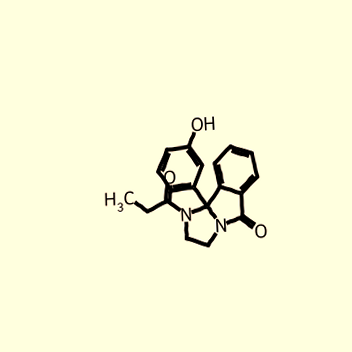 CCC(=O)N1CCN2C(=O)c3ccccc3C12c1cccc(O)c1